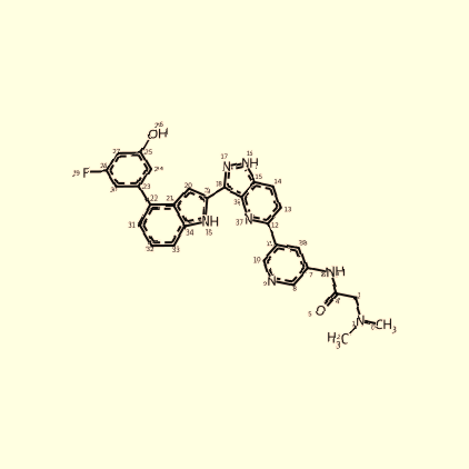 CN(C)CC(=O)Nc1cncc(-c2ccc3[nH]nc(-c4cc5c(-c6cc(O)cc(F)c6)cccc5[nH]4)c3n2)c1